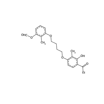 CCC(=O)c1ccc(OCCCCOc2cccc(OC=O)c2C)c(C)c1O